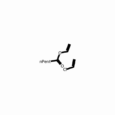 C=CCl.C=COC(=O)CCCCC